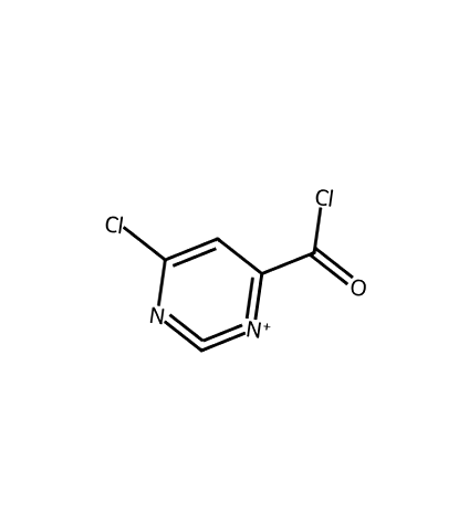 O=C(Cl)C1=[N+]=C=NC(Cl)=C1